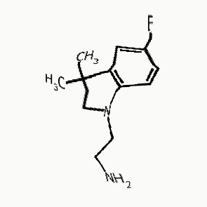 CC1(C)CN(CCN)c2ccc(F)cc21